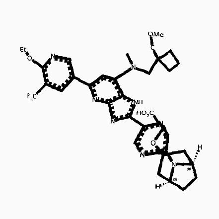 CCOc1ncc(-c2cc(N(C)CC3(COC)CCC3)c3[nH]c(-c4cnc(N5[C@@H]6CC[C@H]5CC(OCC(=O)O)C6)cn4)nc3n2)cc1C(F)(F)F